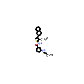 COCCNc1cccc(C(=O)Nc2scc(C3CCc4ccccc4C3)c2C(=O)O)c1